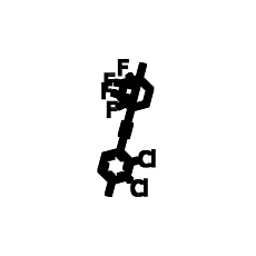 Cc1ccc(C#CC23CCC(C)(CC2)C(F)(F)C3(F)F)c(Cl)c1Cl